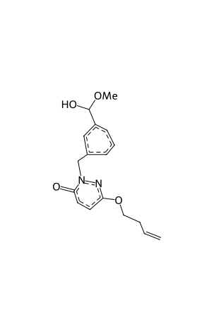 C=CCCOc1ccc(=O)n(Cc2cccc(C(O)OC)c2)n1